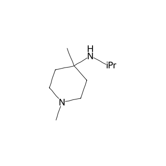 CC(C)NC1(C)CCN(C)CC1